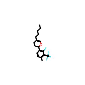 CCCCCC1=COC(c2ccc(C)c(C(F)(F)F)c2F)CC1